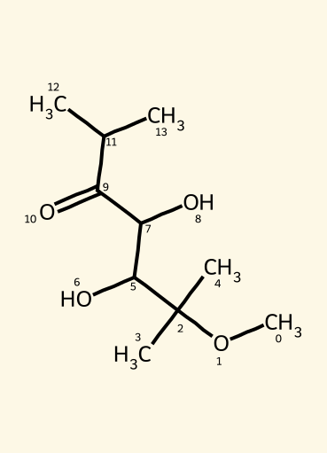 COC(C)(C)C(O)C(O)C(=O)C(C)C